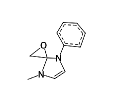 CN1C=CN(c2ccccc2)C12CO2